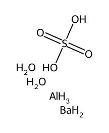 O.O.O=S(=O)(O)O.[AlH3].[BaH2]